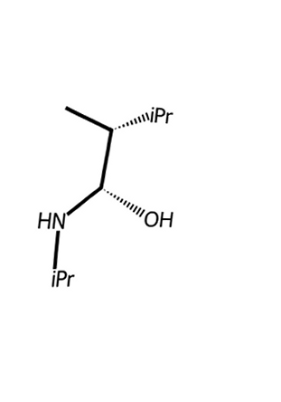 CC(C)N[C@@H](O)[C@H](C)C(C)C